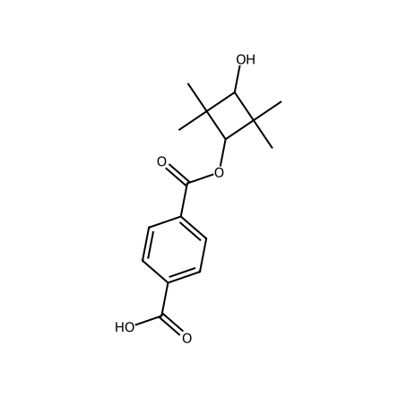 CC1(C)C(O)C(C)(C)C1OC(=O)c1ccc(C(=O)O)cc1